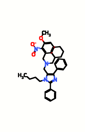 CCCCn1c(-c2ccccc2)nc(-c2ccccc2)c1CN(Cc1cccc(OC)c1[N+](=O)[O-])CC1CCCCC1